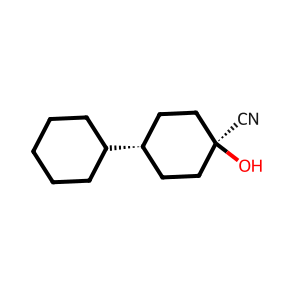 N#C[C@]1(O)CC[C@H](C2CCCCC2)CC1